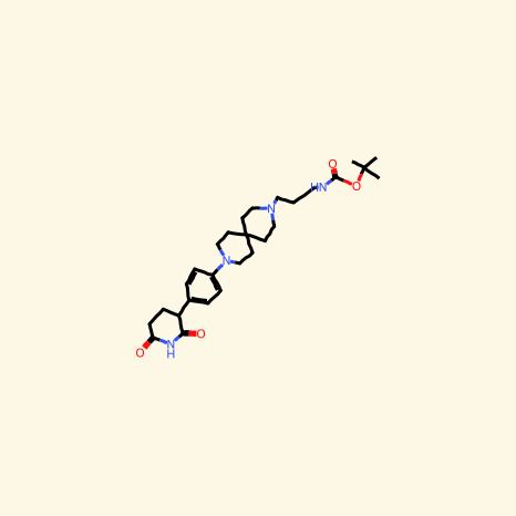 CC(C)(C)OC(=O)NCCCN1CCC2(CC1)CCN(c1ccc(C3CCC(=O)NC3=O)cc1)CC2